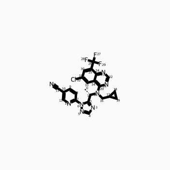 C[C@@H](c1ncnn1-c1ccc(C#N)cn1)N(CC1CC1)c1ncnc2c(C(F)(F)F)cc(Cl)cc12